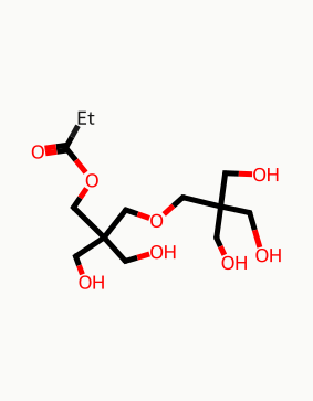 CCC(=O)OCC(CO)(CO)COCC(CO)(CO)CO